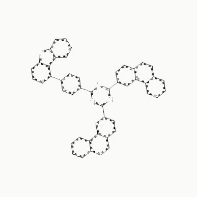 c1ccc2c(c1)ccc1ccc(-c3nc(-c4ccc(-c5cccc6oc7ccccc7c56)cc4)nc(-c4ccc5ccc6ccccc6c5c4)n3)cc12